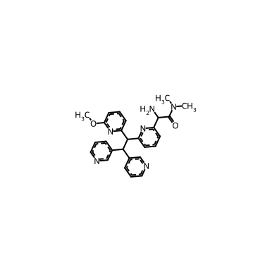 COc1cccc(C(c2cccc(C(N)C(=O)N(C)C)n2)C(c2cccnc2)c2cccnc2)n1